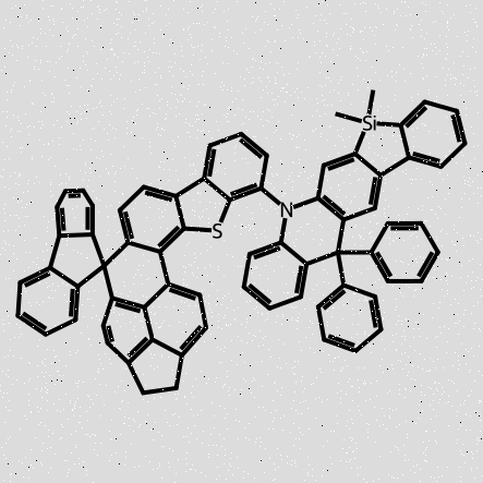 C[Si]1(C)c2ccccc2-c2cc3c(cc21)N(c1cccc2c1sc1c4c(ccc12)C1(c2ccccc2-c2ccccc21)c1ccc2c5c(ccc-4c15)CC2)c1ccccc1C3(c1ccccc1)c1ccccc1